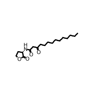 CCCCCCCCCCCC(=O)CC(=O)N[C@H]1CCOC1=O